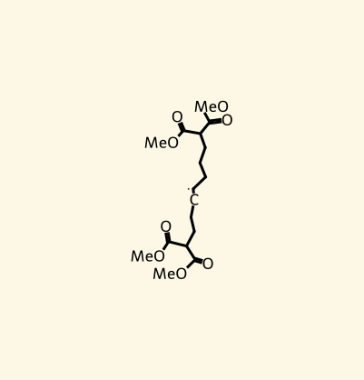 COC(=O)C(CCC[CH]CCCC(C(=O)OC)C(=O)OC)C(=O)OC